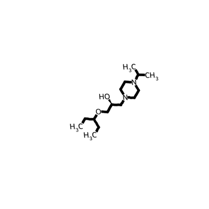 CCC(CC)OC[C@@H](O)CN1CCN(C(C)C)CC1